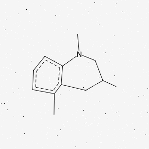 Cc1cccc2c1CC(C)CN2C